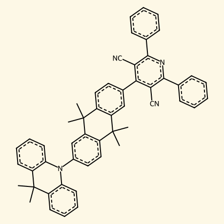 CC1(C)c2ccccc2N(c2ccc3c(c2)C(C)(C)c2ccc(-c4c(C#N)c(-c5ccccc5)nc(-c5ccccc5)c4C#N)cc2C3(C)C)c2ccccc21